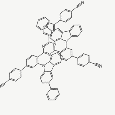 N#Cc1ccc(-c2cccc(-c3nc(-c4ccc(-c5ccc(C#N)cc5)cc4-n4c5ccccc5c5cc(-c6ccccc6)ccc54)nc(-c4ccc(-c5ccc(C#N)cc5)cc4-n4c5ccccc5c5cc(-c6ccccc6)ccc54)n3)c2)cc1